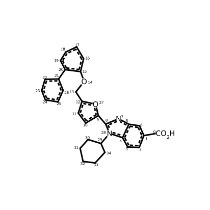 O=C(O)c1ccc2c(c1)nc(-c1ccc(COc3ccccc3-c3ccccc3)o1)n2C1CCCCC1